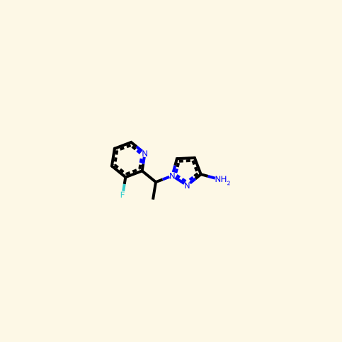 CC(c1ncccc1F)n1ccc(N)n1